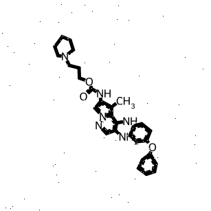 Cc1c(NC(=O)OCCCN2CCCCC2)cn2ncc(N)c(Nc3ccc(Oc4ccccc4)cc3)c12